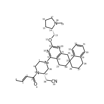 C/C=C/C(=O)N1CCN(c2nc(OC[C@@H]3CCCN3C)nc3c2CCC2(CCCc4ccccc42)C3)C[C@@H]1CC#N